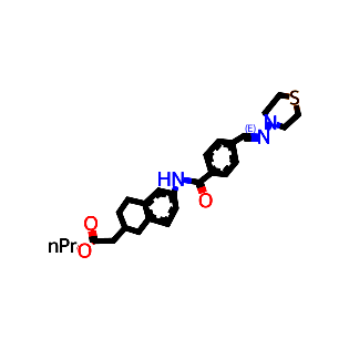 CCCOC(=O)CC1CCc2cc(NC(=O)c3ccc(/C=N/N4CCSCC4)cc3)ccc2C1